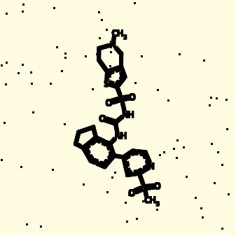 CN1CCc2sc(S(=O)(=O)NC(=O)Nc3c(-c4ccnc(S(C)(=O)=O)c4)ccc4c3CCC4)cc2C1